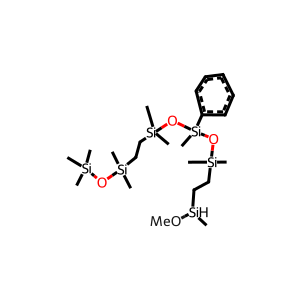 CO[SiH](C)CC[Si](C)(C)O[Si](C)(O[Si](C)(C)CC[Si](C)(C)O[Si](C)(C)C)c1ccccc1